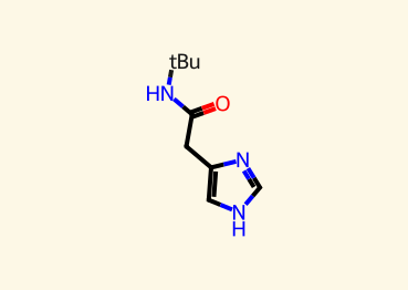 CC(C)(C)NC(=O)Cc1c[nH]cn1